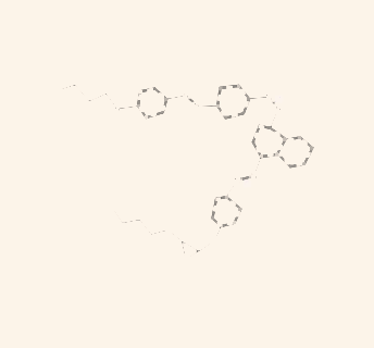 CCCCNc1ccc(N=Nc2ccc(/N=N\c3ccc(/N=N/c4ccc(OC5OC5OCCCC)cc4)c4ccccc34)cc2)cc1